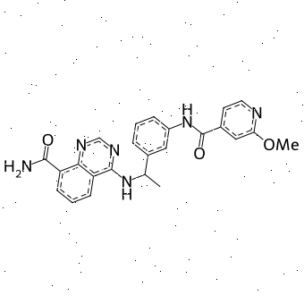 COc1cc(C(=O)Nc2cccc(C(C)Nc3ncnc4c(C(N)=O)cccc34)c2)ccn1